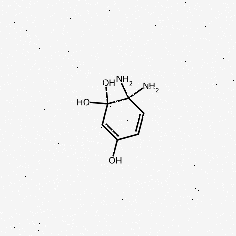 NC1(N)C=CC(O)=CC1(O)O